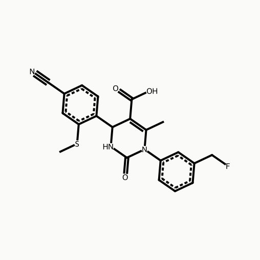 CSc1cc(C#N)ccc1C1NC(=O)N(c2cccc(CF)c2)C(C)=C1C(=O)O